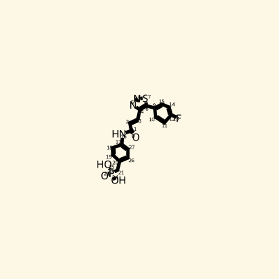 O=C(C=Cc1nnsc1-c1ccc(F)cc1)Nc1ccc(CP(=O)(O)O)cc1